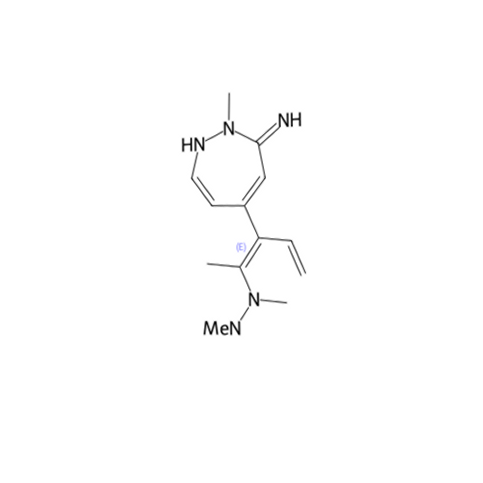 C=C/C(C1=CC(=N)N(C)NC=C1)=C(/C)N(C)NC